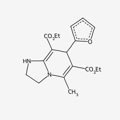 CCOC(=O)C1=C(C)N2CCNC2=C(C(=O)OCC)C1c1ccco1